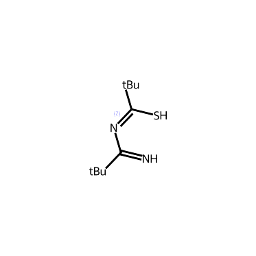 CC(C)(C)C(=N)/N=C(\S)C(C)(C)C